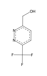 OCc1ccc(C(F)(F)F)nn1